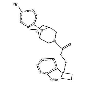 COc1ncccc1C1(OCC(=O)N2CC3C[C@H](C)C(C2)N3c2ccc(C#N)cn2)CCC1